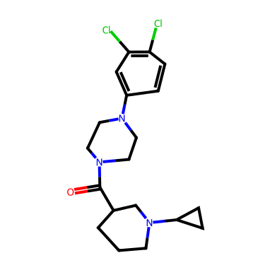 O=C(C1CCCN(C2CC2)C1)N1CCN(c2ccc(Cl)c(Cl)c2)CC1